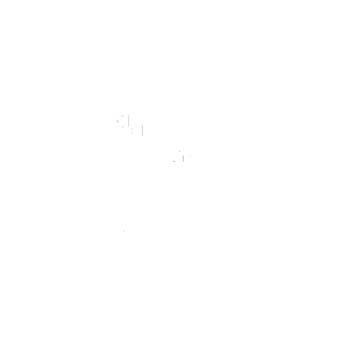 C[C](C)=[Zr+2][CH]1C(C2=CC(C(C)(C)C)=CC2)=Cc2ccccc21.[Cl-].[Cl-]